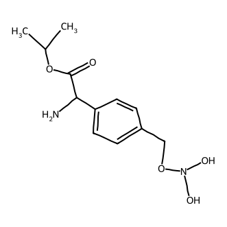 CC(C)OC(=O)C(N)c1ccc(CON(O)O)cc1